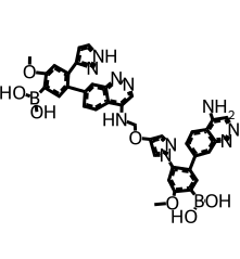 COc1cc(-c2cc[nH]n2)c(-c2ccc3c(NCOc4cnn(-c5cc(OC)c(B(O)O)cc5-c5ccc6c(N)cnnc6c5)c4)cnnc3c2)cc1B(O)O